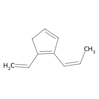 C=CC1=C(/C=C\C)C=CC1